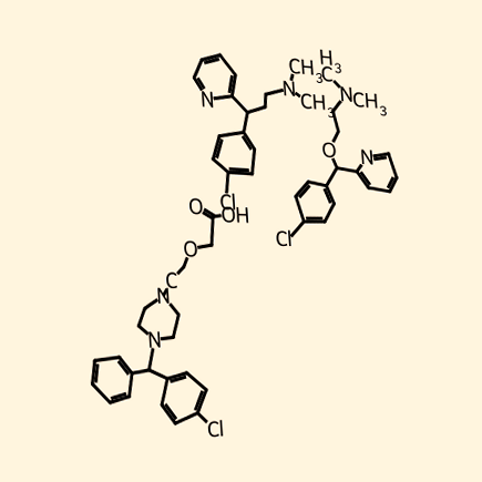 CN(C)CCC(c1ccc(Cl)cc1)c1ccccn1.CN(C)CCOC(c1ccc(Cl)cc1)c1ccccn1.O=C(O)COCCN1CCN(C(c2ccccc2)c2ccc(Cl)cc2)CC1